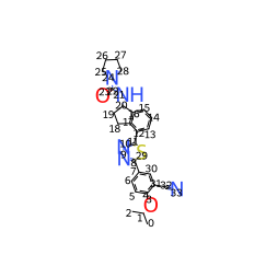 CC(C)Oc1ccc(-c2nnc(-c3cccc4c3CC[C@@H]4NC(=O)N3CCCC3)s2)cc1C#N